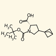 CC(C)(C)OC(=O)N1CC(C23CC(C2)C3)C[C@H]1C(=O)O